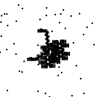 CCCCCCCCCCCCCCCC[C@@H](O)[C@@H](O)[C@H](COP(=O)(O)O[C@H]1C(O)C(O)C(O)[C@@H](O)C1O[C@H]1O[C@H](COP(=O)(O)OC2C(O)C(O)C(O)[C@@H](O)C2O)[C@@H](O)C(O)C1O)NC(=O)CCCCCCCCCCCCCCC